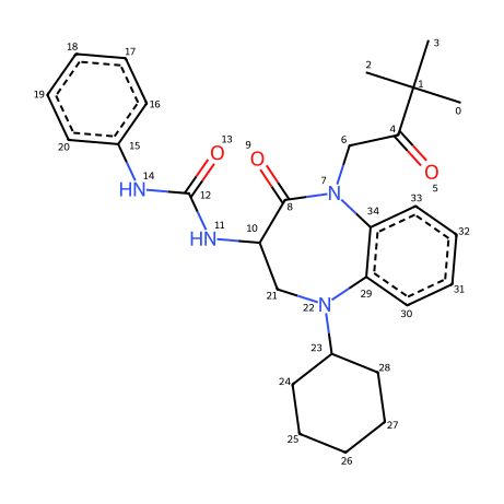 CC(C)(C)C(=O)CN1C(=O)C(NC(=O)Nc2ccccc2)CN(C2CCCCC2)c2ccccc21